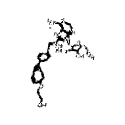 Nc1ncnc2c1nc(NCc1ccc(-c3cccc(OCCO)c3)cc1)n2[C@@H]1O[C@H](CO)C(O)C1O